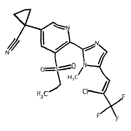 CCS(=O)(=O)c1cc(C2(C#N)CC2)cnc1-c1ncc(C=C(Cl)C(F)(F)F)n1C